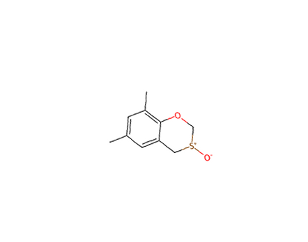 Cc1cc(C)c2c(c1)C[S+]([O-])CO2